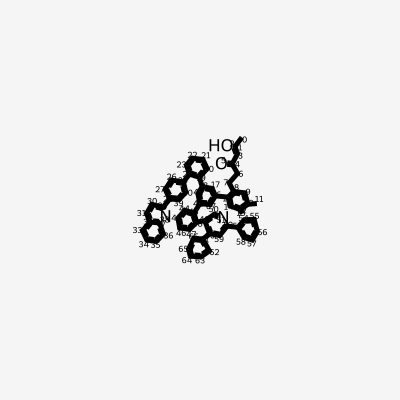 C/C(O)=C/C(=O)CCc1cc(C)c(C)cc1-c1cc(-c2ccccc2-c2ccc(-c3ccc4ccccc4n3)cc2)cc(-c2ccccc2-c2cnc(-c3ccccc3)cc2-c2ccccc2)c1